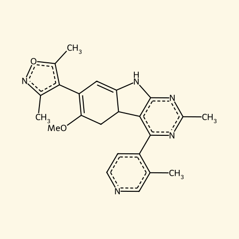 COC1=C(c2c(C)noc2C)C=C2Nc3nc(C)nc(-c4ccncc4C)c3C2C1